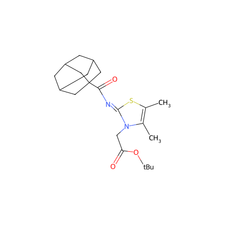 Cc1sc(=NC(=O)C23CC4CC(CC(C4)C2)C3)n(CC(=O)OC(C)(C)C)c1C